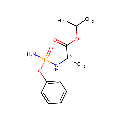 CC(C)OC(=O)[C@H](C)NP(N)(=O)Oc1ccccc1